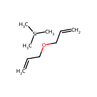 C=CCOCC=C.C[Si](C)C